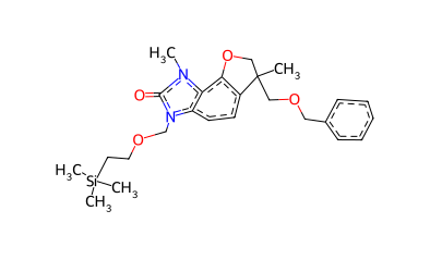 Cn1c(=O)n(COCC[Si](C)(C)C)c2ccc3c(c21)OCC3(C)COCc1ccccc1